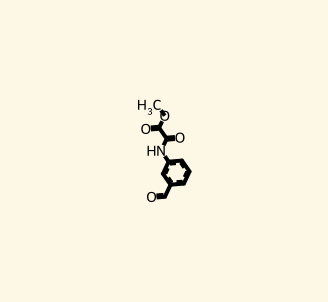 COC(=O)C(=O)Nc1cccc(C=O)c1